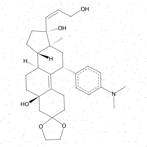 CN(C)c1ccc([C@H]2C[C@@]3(C)[C@@H](CC[C@@]3(O)/C=C\CO)[C@@H]3CC[C@@]4(O)CC5(CCC4=C32)OCCO5)cc1